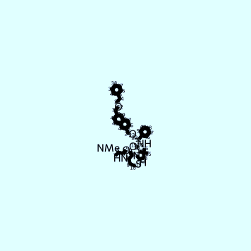 C=C1[C@@H](NC(=O)[C@H](C)NC)CCS[C@H]2CC(C)(C)[C@@H](C(=O)N[C@H](COCc3ccc4cc(COCCc5ccccc5)ccc4c3)c3ccccc3)N12